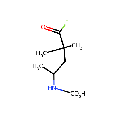 CC(CC(C)(C)C(=O)F)NC(=O)O